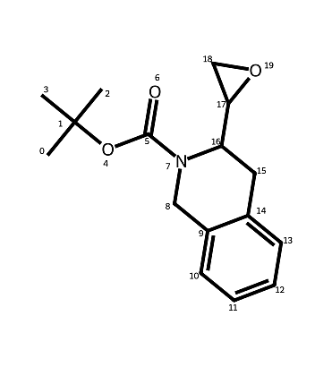 CC(C)(C)OC(=O)N1Cc2ccccc2CC1C1CO1